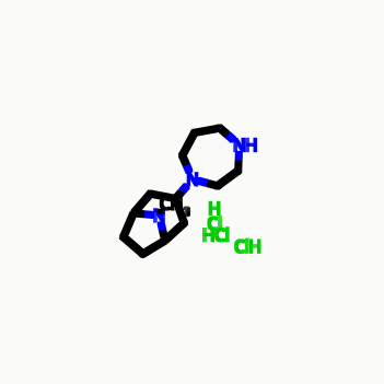 CN1C2CCC1CC(N1CCCNCC1)C2.Cl.Cl.Cl